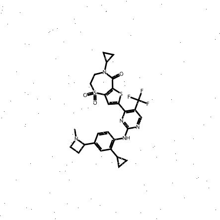 CN1CCC1c1ccc(Nc2ncc(C(F)(F)F)c(-c3cc4c(s3)C(=O)N(C3CC3)CCS4(=O)=O)n2)c(C2CC2)c1